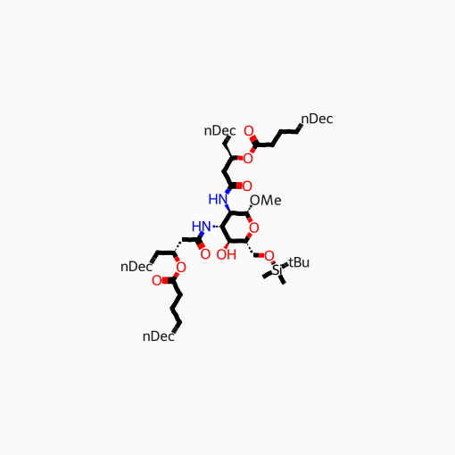 CCCCCCCCCCCCCC(=O)O[C@H](CCCCCCCCCCC)CC(=O)N[C@H]1[C@H](OC)O[C@H](CO[Si](C)(C)C(C)(C)C)[C@@H](O)[C@@H]1NC(=O)C[C@@H](CCCCCCCCCCC)OC(=O)CCCCCCCCCCCCC